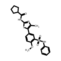 COc1ccc(-c2sc(NC(=O)C3CCCC3)nc2C)cc1S(=O)(=O)Nc1ccccc1